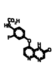 O=C(O)Nc1ccc(Oc2ccnc3ncc(=O)[nH]c23)cc1F